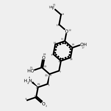 CC(=O)[C@@H](N)C[C@H](Cc1ccc(OCC[18F])c(O)c1)C(=O)O